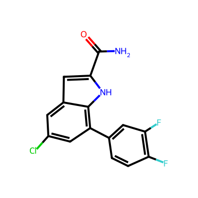 NC(=O)c1cc2cc(Cl)cc(-c3ccc(F)c(F)c3)c2[nH]1